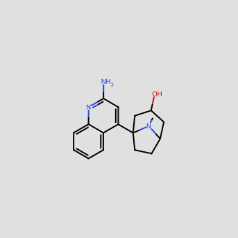 CN1C2CCC1(c1cc(N)nc3ccccc13)CC(O)C2